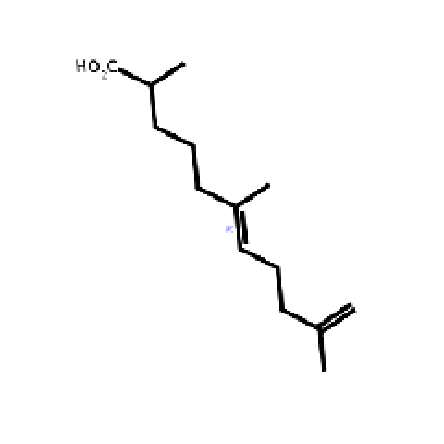 C=C(C)CC/C=C(\C)CCCC(C)C(=O)O